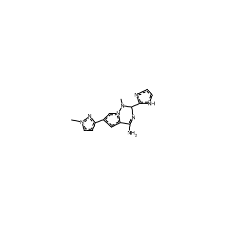 CN1C(c2ncc[nH]2)N=C(N)c2cc(-c3ccn(C)n3)cn21